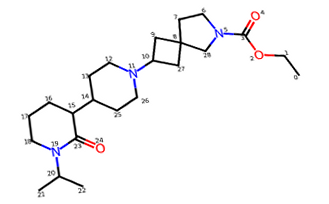 CCOC(=O)N1CCC2(CC(N3CCC(C4CCCN(C(C)C)C4=O)CC3)C2)C1